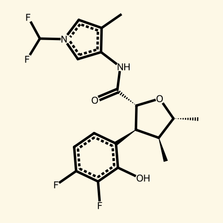 Cc1cn(C(F)F)cc1NC(=O)[C@@H]1O[C@H](C)[C@@H](C)[C@H]1c1ccc(F)c(F)c1O